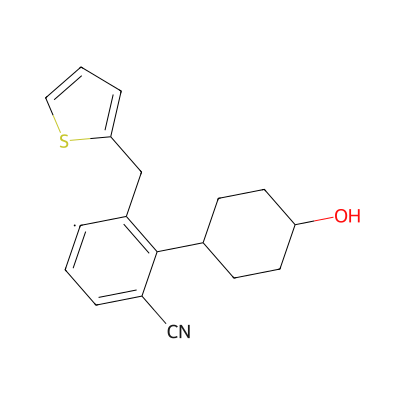 N#Cc1cc[c]c(Cc2cccs2)c1C1CCC(O)CC1